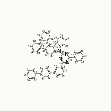 c1ccc(-c2ccc(-c3cccc(-c4nc(-c5ccccc5)nc(-n5c6ccccc6c6c7c8ccccc8c8ccccc8c7ccc65)n4)c3)cc2)cc1